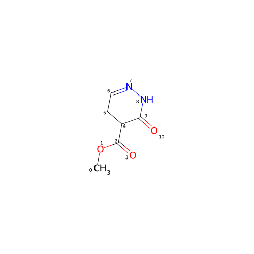 COC(=O)C1C[C]=NNC1=O